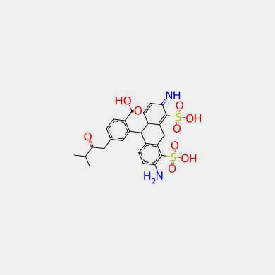 CC(C)C(=O)Cc1ccc(C(=O)O)c(C2c3ccc(N)c(S(=O)(=O)O)c3CC3=C(S(=O)(=O)O)C(=N)C=CC32)c1